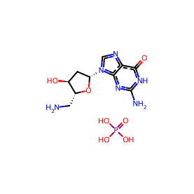 NC[C@H]1O[C@@H](n2cnc3c(=O)[nH]c(N)nc32)C[C@@H]1O.O=P(O)(O)O